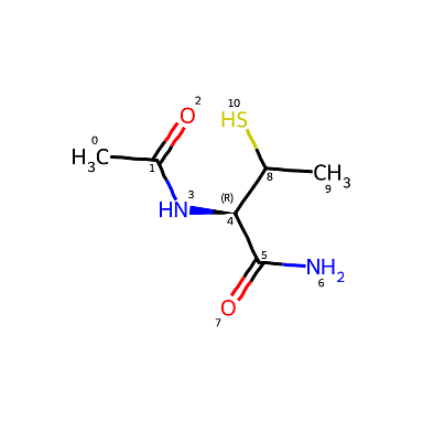 CC(=O)N[C@H](C(N)=O)C(C)S